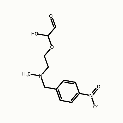 CN(CCOC(O)C=O)Cc1ccc([N+](=O)[O-])cc1